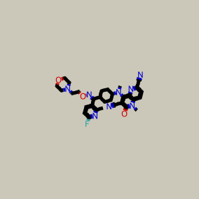 Cc1nc(F)ccc1/C(=N\OCCN1CCOCC1)C1CCC(N(C)c2c(C#N)c(=O)n(C)c3ccc(C#N)nc23)CC1